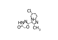 Cc1nc2ccc(Cl)cn2c1C1=NNC(=O)CO1